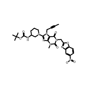 CC#CCn1c(N2CCCC(NC(=O)OC(C)(C)C)C2)nc2c1c(=O)n(Cc1nc3cc([N+](=O)[O-])ccc3o1)c(=O)n2C